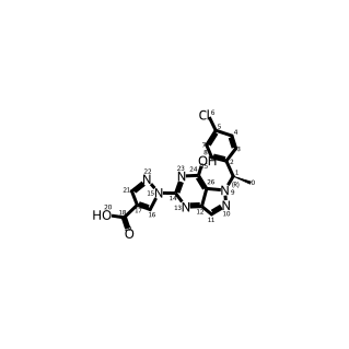 C[C@H](c1ccc(Cl)cc1)n1ncc2nc(-n3cc(C(=O)O)cn3)nc(O)c21